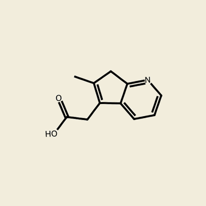 CC1=C(CC(=O)O)c2cccnc2C1